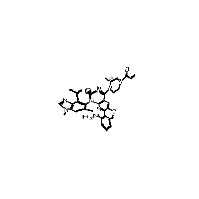 C=CC(=O)N1CCN(c2nc(=O)n(-c3c(C)cc4c(ncn4C)c3C(C)C)c3nc(-c4c(N)cccc4F)c(Cl)cc23)[C@@H](C)C1